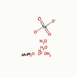 O.O.O.O.O.O=[Se](=O)([O-])[O-].[Mn+2]